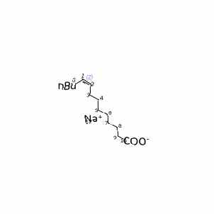 CCCC/C=C\CCCCCCCC(=O)[O-].[Na+]